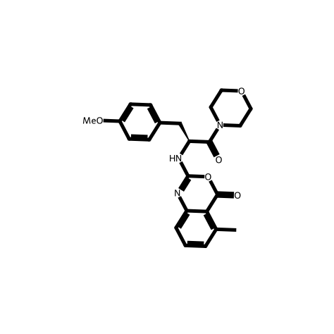 COc1ccc(C[C@H](Nc2nc3cccc(C)c3c(=O)o2)C(=O)N2CCOCC2)cc1